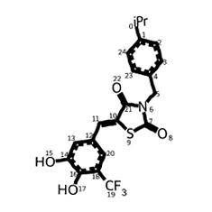 CC(C)c1ccc(CN2C(=O)S/C(=C\c3cc(O)c(O)c(C(F)(F)F)c3)C2=O)cc1